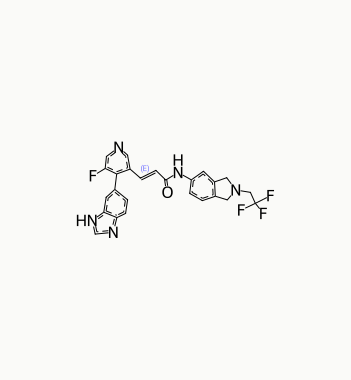 O=C(/C=C/c1cncc(F)c1-c1ccc2nc[nH]c2c1)Nc1ccc2c(c1)CN(CC(F)(F)F)C2